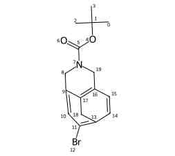 CC(C)(C)OC(=O)N1CC2=CC(Br)=C3C=CC(=C2C3)C1